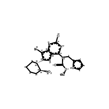 CC(C)(C)OC(=O)N(Cc1ccco1)c1nc(Cl)nc2c(Br)c([C@H]3CCCC[C@@H]3[N+](=O)[O-])sc12